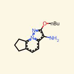 CCCCOc1nn2c3c(ccc2c1N)CCC3